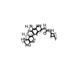 Cc1c(-c2cc3cc(NC(=O)NC4CC(F)C4)ncc3c(N)c2F)cnc2c1NCCO2